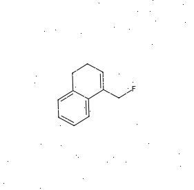 FCC1=CCCc2ccccc21